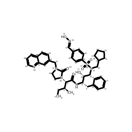 CC[C@H](C)[C@@H](C(=O)N[C@@H](Cc1ccccc1)[C@H](O)CN(CC1CCCC1)S(=O)(=O)c1ccc(C=NO)cc1)N1CCN(Cc2ccc3cccnc3c2)C1=O